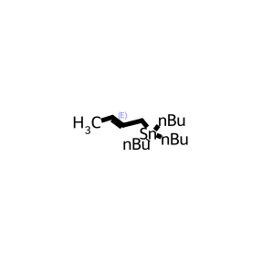 C/C=C/[CH2][Sn]([CH2]CCC)([CH2]CCC)[CH2]CCC